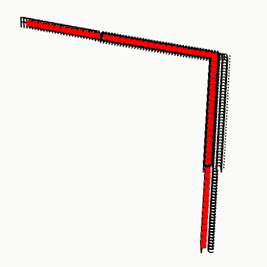 [Fe].[Fe].[Fe].[Fe].[Fe].[Fe].[Fe].[Fe].[Fe].[Fe].[Fe].[Fe].[Fe].[Fe].[Fe].[Fe].[Fe].[Fe].[Fe].[Fe].[Fe].[Fe].[Fe].[Fe].[Fe].[Fe].[Fe].[Fe].[Fe].[Fe].[Fe].[Fe].[Fe].[Fe].[Fe].[Fe].[Fe].[Fe].[Fe].[Fe].[Fe].[Fe].[Fe].[Fe].[Fe].[Fe].[Fe].[Fe].[Fe].[Fe].[Fe].[Fe].[Fe].[Fe].[Fe].[Mn].[Mn].[Mn].[Mn].[Mn].[Mn].[Mn].[Mn].[Mn].[Mn].[Mn].[Mn].[Mn].[Mn].[Mn].[Mn].[Mn].[Mn].[Mn].[Mn].[Mn].[Mn].[Mn].[Mn].[Mn].[Mn].[Mn].[Mn].[Mn].[Mn].[Mn].[Mn].[Mn].[Mn].[Mn].[Mn].[Mn].[Mn].[Mn].[Mn].[Mn].[Mn].[Mn].[Mn].[Mn].[Mn].[Mn].[Mn].[Mn].[Mn].[Mn].[Mn].[Mn].[Mn].[Mn].[Mn].[Mn].[Mn].[Mn].[Mn].[Mn].[Mn].[Mn].[Mn].[Mn].[Mn].[Mn].[Mn].[Mn].[Mn].[Mn].[Mn].[Mn].[Mn].[Mn].[Mn].[Mn].[Mn].[Mn].[Mn]